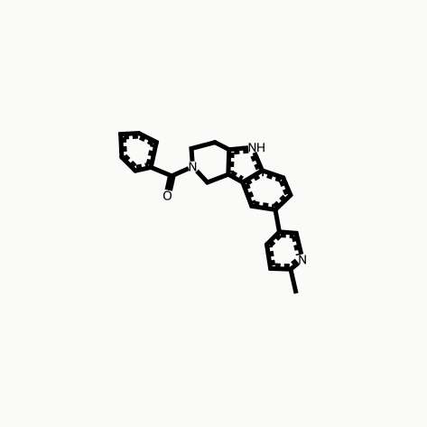 Cc1ccc(-c2ccc3[nH]c4c(c3c2)CN(C(=O)c2ccccc2)CC4)cn1